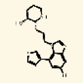 O[C@H]1CCCN[C@@H]1CCCn1cnc2cc(Cl)cc(-c3ccsc3)c21